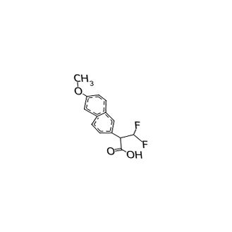 COc1ccc2cc(C(C(=O)O)C(F)F)ccc2c1